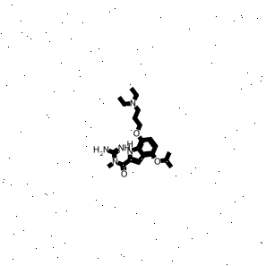 CCN(CC)CCCOc1ccc(OC(C)C)c2cc(C(=O)N(C)C(=N)N)[nH]c12